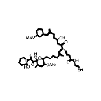 COC1CCCC(/C=C(\C)CC[C@@H](O)CC(=O)[C@@H](/C=C(\C)CCCCC2OC(O)(C(=O)C(=O)N3CCCCC3O)C(C)CC2OC)CCCC(=O)NCCS)C1